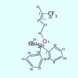 C/C(=C/CCO[Si](c1ccccc1)(c1ccccc1)C(C)(C)C)C(F)(F)F